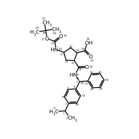 CC(C)c1ccc([C@@H](NC(=O)C2CC(NC(=O)OC(C)(C)C)CC2C(=O)O)c2ccccc2)cc1